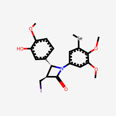 COc1ccc([C@H]2[C@H](CI)C(=O)N2c2cc(OC)c(OC)c([Se]C)c2)cc1O